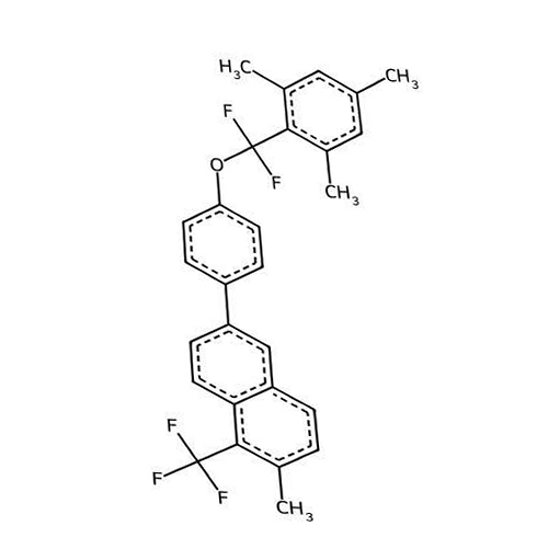 Cc1cc(C)c(C(F)(F)Oc2ccc(-c3ccc4c(C(F)(F)F)c(C)ccc4c3)cc2)c(C)c1